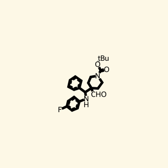 CC(C)(C)OC(=O)N1CCC(C=O)(C(Nc2ccc(F)cc2)c2ccccc2)CC1